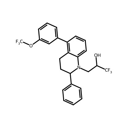 OC(CN1c2cccc(-c3cccc(OC(F)(F)F)c3)c2CCC1c1ccccc1)C(F)(F)F